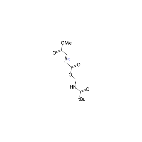 COC(=O)/C=C/C(=O)OCNC(=O)C(C)(C)C